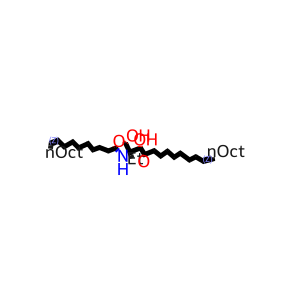 CCCCCCCC/C=C\CCCCCCCC(=O)NC(CC)(CO)C(O)C(=O)CCCCCCC/C=C\CCCCCCCC